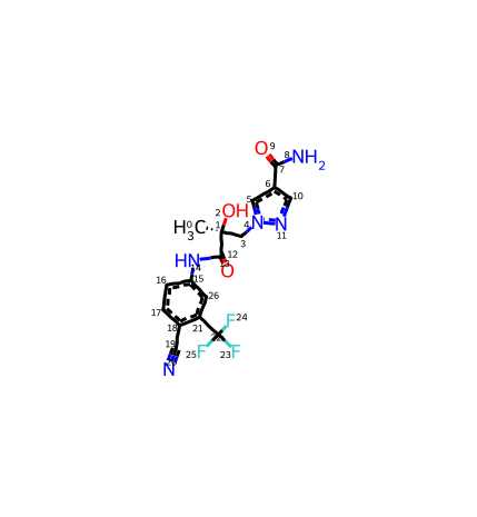 C[C@](O)(Cn1cc(C(N)=O)cn1)C(=O)Nc1ccc(C#N)c(C(F)(F)F)c1